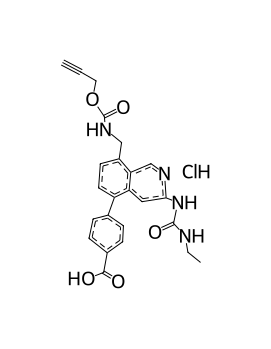 C#CCOC(=O)NCc1ccc(-c2ccc(C(=O)O)cc2)c2cc(NC(=O)NCC)ncc12.Cl